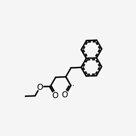 CCOC(=O)CC([C]=O)Cc1cccc2ccccc12